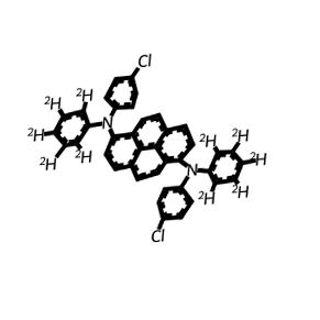 [2H]c1c([2H])c([2H])c(N(c2ccc(Cl)cc2)c2ccc3ccc4c(N(c5ccc(Cl)cc5)c5c([2H])c([2H])c([2H])c([2H])c5[2H])ccc5ccc2c3c54)c([2H])c1[2H]